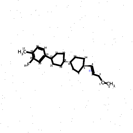 COC/C=C/[C@H]1CC[C@H](C2CCC(c3ccc(C)c(F)c3)CC2)CC1